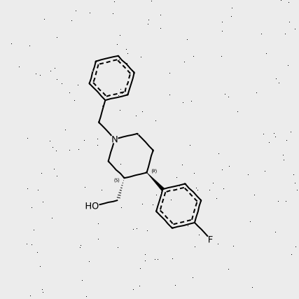 OC[C@@H]1CN(Cc2ccccc2)CC[C@H]1c1ccc(F)cc1